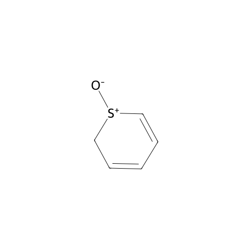 [O-][S+]1C=CC=CC1